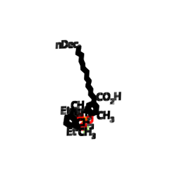 CCCCCCCCCCCCCCCCCCCCCCC(C(=O)O)c1cc(C)c(OP(OF)Oc2c(C(C)(C)CC)cccc2C(C)(C)CC)c(C(C)(C)C)c1